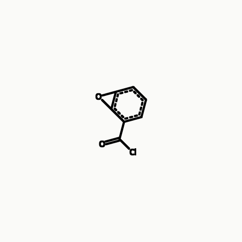 O=C(Cl)c1cccc2c1O2